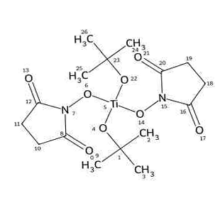 CC(C)(C)[O][Ti]([O]N1C(=O)CCC1=O)([O]N1C(=O)CCC1=O)[O]C(C)(C)C